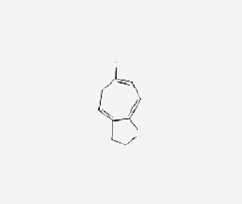 FC1=CC=C2OCCC2=CC1